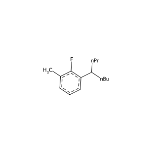 CCCCC(CCC)c1cccc(C)c1F